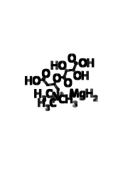 C[N+](C)(C)C[C@@H](CC(=O)O)OC(=O)C(O)C(O)C(=O)O.[MgH2]